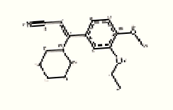 CCOc1cc(/C(=C/C#N)C2CCCCC2)ccc1OC